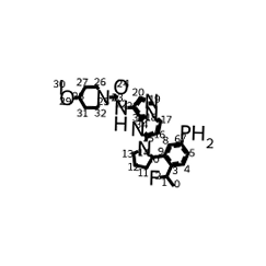 CC(F)c1ccc(P)cc1C1CCCN1c1ccn2ncc(NC(=O)N3CCC(OI)CC3)c2n1